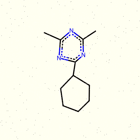 Cc1nc(C)nc(C2CCCCC2)n1